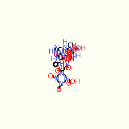 C[C@H](NC(=O)[C@H](CC(=O)O)NC(=O)CCCNC(=O)CCC(C(=O)O)N1CCN(CC=O)CCN(CC=O)CCN(CC(=O)O)CC1)C(=O)N[C@@H](Cc1c[nH]cn1)C(=O)N[C@@H](CO)C(=O)N[C@@H](Cc1ccccc1)C(=O)N[C@@H](CO)C(=O)O